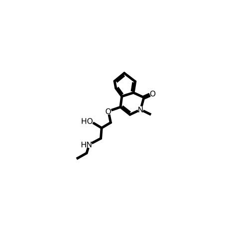 CCNCC(O)COc1cn(C)c(=O)c2ccccc12